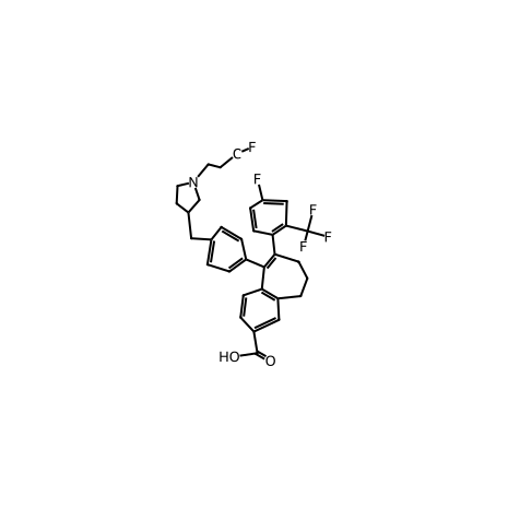 O=C(O)c1ccc2c(c1)CCCC(c1ccc(F)cc1C(F)(F)F)=C2c1ccc(CC2CCN(CCCF)C2)cc1